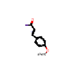 CCCCCOc1ccc(/C=C/C(=O)I)cc1